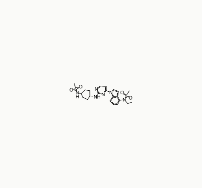 CCN(c1cccc2c1ccn2-c1ccnc(N[C@H]2CC[C@H](NS(C)(=O)=O)CC2)n1)S(C)(=O)=O